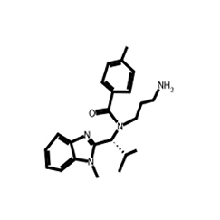 Cc1ccc(C(=O)N(CCCN)[C@@H](c2nc3ccccc3n2C)C(C)C)cc1